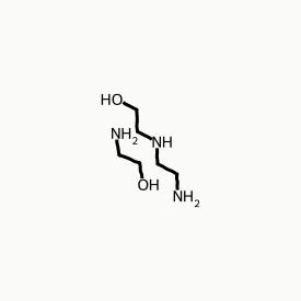 NCCNCCO.NCCO